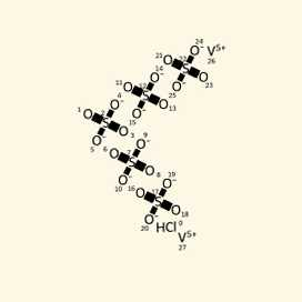 Cl.O=S(=O)([O-])[O-].O=S(=O)([O-])[O-].O=S(=O)([O-])[O-].O=S(=O)([O-])[O-].O=S(=O)([O-])[O-].[V+5].[V+5]